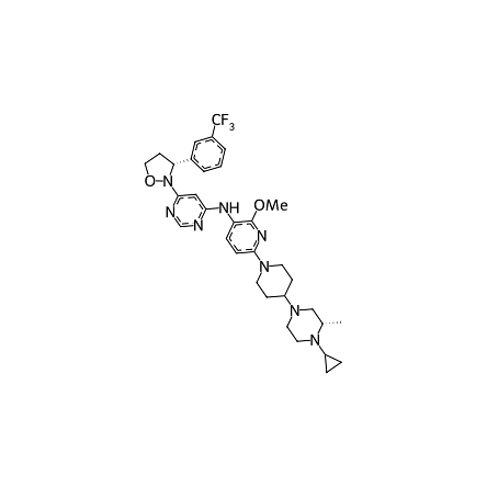 COc1nc(N2CCC(N3CCN(C4CC4)[C@@H](C)C3)CC2)ccc1Nc1cc(N2OCC[C@@H]2c2cccc(C(F)(F)F)c2)ncn1